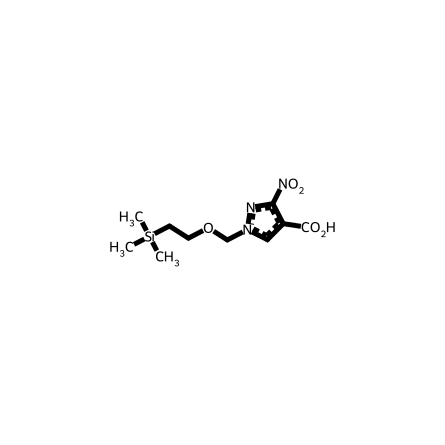 C[Si](C)(C)CCOCn1cc(C(=O)O)c([N+](=O)[O-])n1